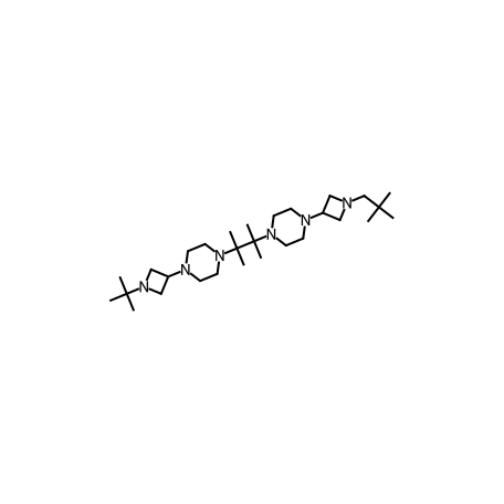 CC(C)(C)CN1CC(N2CCN(C(C)(C)C(C)(C)N3CCN(C4CN(C(C)(C)C)C4)CC3)CC2)C1